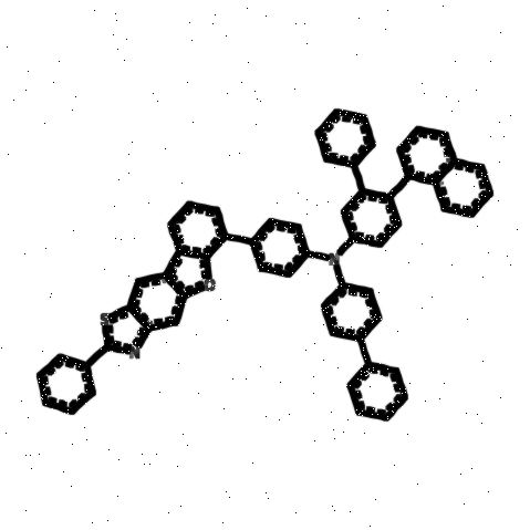 c1ccc(-c2ccc(N(c3ccc(-c4cccc5c4oc4cc6nc(-c7ccccc7)sc6cc45)cc3)c3ccc(-c4cccc5ccccc45)c(-c4ccccc4)c3)cc2)cc1